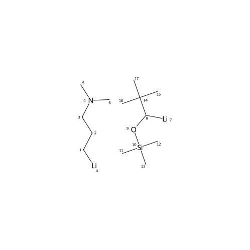 [Li][CH2]CCN(C)C.[Li][CH](O[Si](C)(C)C)C(C)(C)C